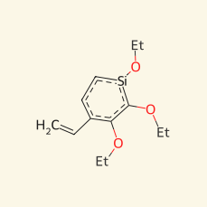 C=Cc1cc[si](OCC)c(OCC)c1OCC